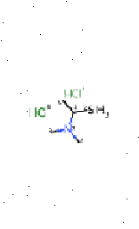 CC([SiH3])N(C)C.Cl.Cl